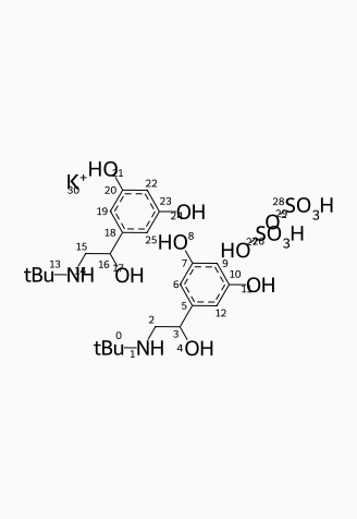 CC(C)(C)NCC(O)c1cc(O)cc(O)c1.CC(C)(C)NCC(O)c1cc(O)cc(O)c1.O=S(=O)(O)O.O=S(=O)([O-])O.[K+]